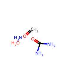 C=O.N.NC(N)=O.O